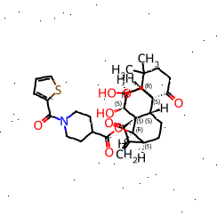 C=C1C(=O)[C@]23[C@H](OC(=O)C4CCN(C(=O)c5cccs5)CC4)[C@H]1CC[C@H]2[C@@]12CO[C@]3(O)[C@@H](O)[C@@H]1C(C)(C)CCC2=O